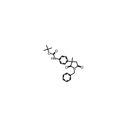 CC(C)(C)OC(=O)Nc1ccc(C2(C)CC(=O)N(Cc3ccccc3)C2=O)cc1